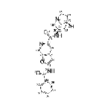 O=C(Nc1cc2cc(C(=O)N[C@@H]3C[C@H]4CCN(C4)C3)ncc2o1)c1ccccc1